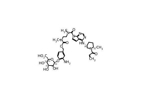 C=CC(=O)N1C[C@H](Nc2ncnc3c2ccn3C(=O)N(C)CCN(C)C(=O)OCc2ccc(O[C@@H]3O[C@H](C(=O)O)[C@@H](O)[C@H](O)[C@H]3O)c(N)c2)CC[C@@H]1C